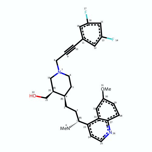 CN[C@H](CC[C@@H]1CCN(CC#Cc2cc(F)cc(F)c2)C[C@@H]1CO)c1ccnc2ccc(OC)cc12